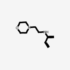 C=CC(=C)NCCN1CCOCC1